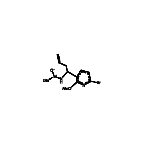 C=CCC(N[S@+]([O-])C(C)(C)C)c1ccc(Br)nc1OC